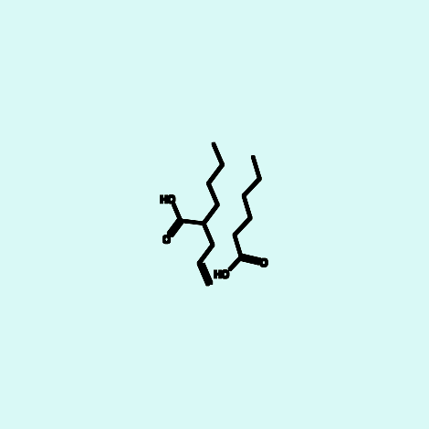 C=CCC(CCCC)C(=O)O.CCCCCC(=O)O